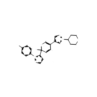 Cl.NC1(c2ccnn2-c2ccc(F)cc2)C=CC(c2cnn(C3CCNCC3)c2)=CN1